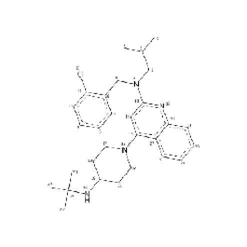 CC(C)CN(Cc1ccccc1Cl)c1cc(N2CCC(NC(C)(C)C)CC2)c2ccccc2n1